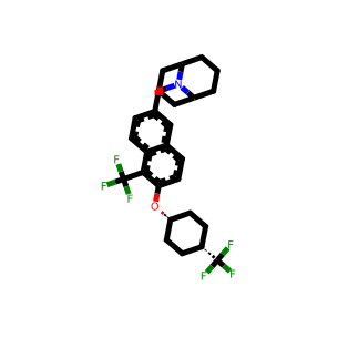 FC(F)(F)c1c(O[C@H]2CC[C@@H](C(F)(F)F)CC2)ccc2cc(CN3C4CCCC3CCC4)ccc12